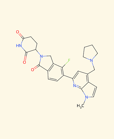 Cn1ccc2c(CN3CCCC3)cc(-c3ccc4c(c3F)CN(C3CCC(=O)NC3=O)C4=O)nc21